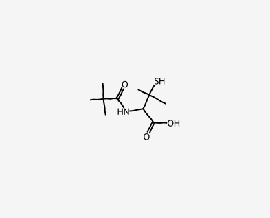 CC(C)(C)C(=O)NC(C(=O)O)C(C)(C)S